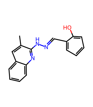 Cc1cc2ccccc2nc1N/N=C/c1ccccc1O